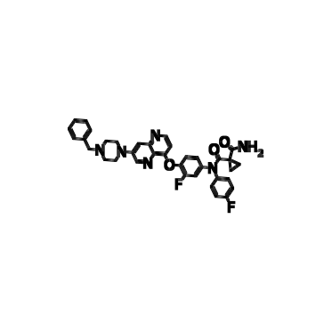 NC(=O)C1(C(=O)N(c2ccc(F)cc2)c2ccc(Oc3ccnc4cc(N5CCN(Cc6ccccc6)CC5)cnc34)c(F)c2)CC1